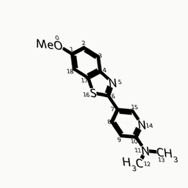 COc1ccc2nc(-c3ccc(N(C)C)nc3)sc2c1